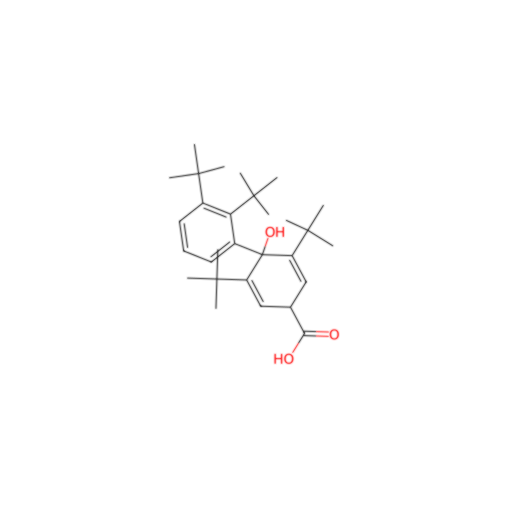 CC(C)(C)C1=CC(C(=O)O)C=C(C(C)(C)C)C1(O)c1cccc(C(C)(C)C)c1C(C)(C)C